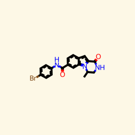 CC1CNC(=O)c2cc3ccc(C(=O)Nc4ccc(Br)cc4)cc3n21